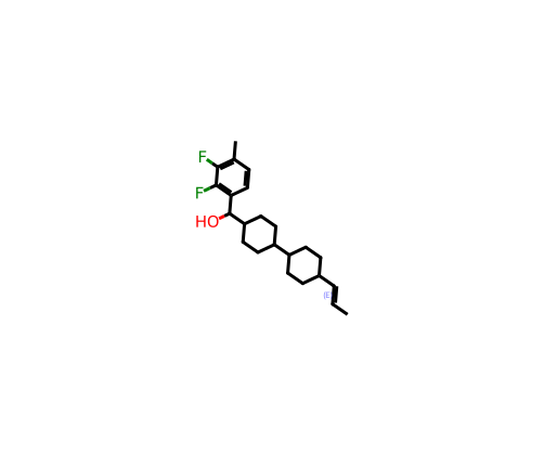 C/C=C/C1CCC(C2CCC(C(O)c3ccc(C)c(F)c3F)CC2)CC1